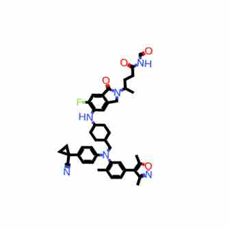 Cc1ccc(-c2c(C)noc2C)cc1N(CC1CCC(Nc2cc3c(cc2F)C(=O)N(C(C)CCC(=O)NC=O)C3)CC1)c1ccc(C2(C#N)CC2)cc1